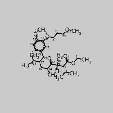 CCOC(=O)[C@H](C(C)C)C(C)(C)C(=O)[C@@H](C)C[C@H](Cc1ccc(OC)c(OCCCOC)c1)C(C)C